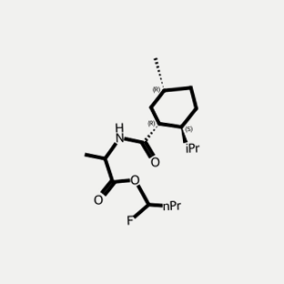 CCCC(F)OC(=O)C(C)NC(=O)[C@@H]1C[C@H](C)CC[C@H]1C(C)C